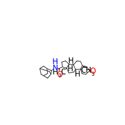 C[C@]12CCC(=O)C=C1CC[C@@H]1[C@H]2CC[C@]2(C)C(C(=O)NC3C4CC5CC(C4)CC3C5)CC[C@@H]12